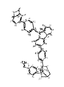 C=Cc1ccc(C23CC4CC(C2)CC(c2ccc(-c5ccc6c(c5)c5ccccc5n6-c5ccc(-c6ccc7c(c6)CC7)cc5)cc2)(C4)C3)cc1